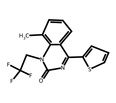 Cc1cccc2c(-c3cccs3)nc(=O)n(CC(F)(F)F)c12